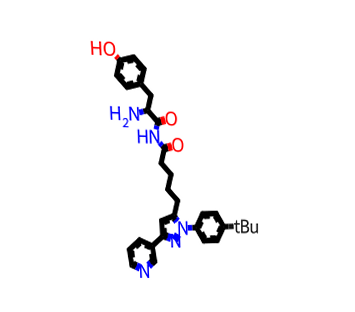 CC(C)(C)c1ccc(-n2nc(-c3cccnc3)cc2CCCCC(=O)NC(=O)C(N)Cc2ccc(O)cc2)cc1